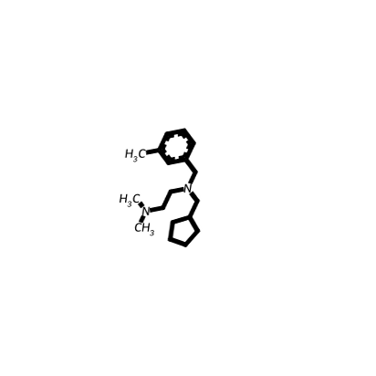 Cc1cccc(CN(CCN(C)C)CC2CCCC2)c1